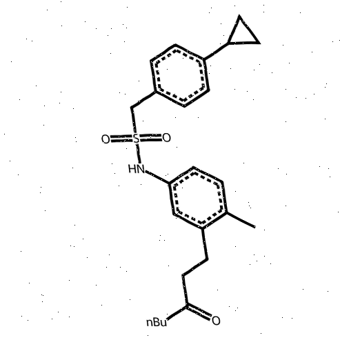 CCCCC(=O)CCc1cc(NS(=O)(=O)Cc2ccc(C3CC3)cc2)ccc1C